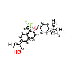 CC(CO)c1ccc2c(C(F)(F)F)c(O[C@H]3CC[C@H](C(C)(C)C)CC3)ccc2c1